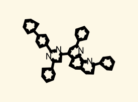 c1ccc(-c2ccc(-c3nc(-c4ccccc4)cc(-c4cc(-c5ccccc5)nc5c4ccc4ccc(-c6ccccc6)nc45)n3)cc2)cc1